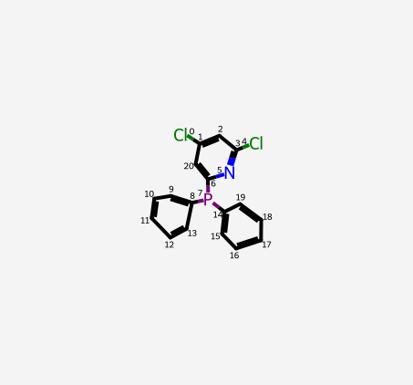 Clc1cc(Cl)nc(P(c2ccccc2)c2ccccc2)c1